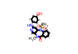 CN1C(=O)c2ccccc2N(S(C)(=O)=O)c2cc(N[C@H]3CC[C@H](O)CC3)ncc21